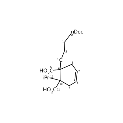 CCCCCCCCCCCCCC1(C(=O)O)CC=CCC1(C(=O)O)C(C)C